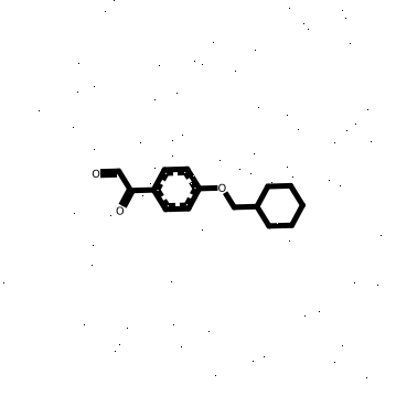 O=CC(=O)c1ccc(OCC2CCCCC2)cc1